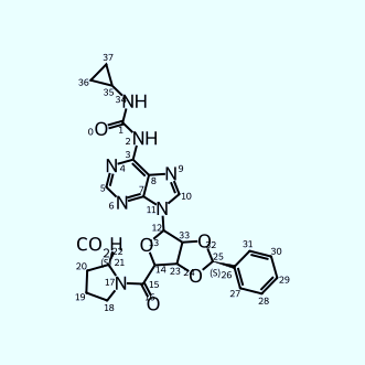 O=C(Nc1ncnc2c1ncn2C1OC(C(=O)N2CCC[C@H]2C(=O)O)C2O[C@H](c3ccccc3)OC21)NC1CC1